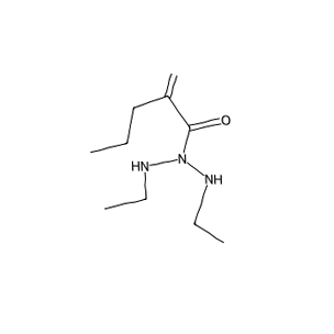 C=C(CCC)C(=O)N(NCC)NCC